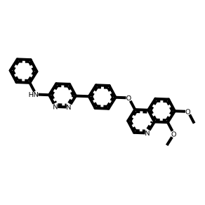 COc1ccc2c(Oc3ccc(-c4ccc(Nc5ccccc5)nn4)cc3)ccnc2c1OC